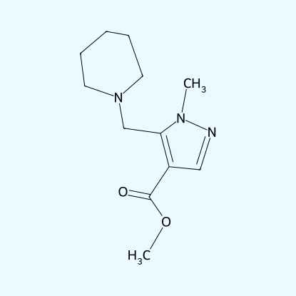 COC(=O)c1cnn(C)c1CN1CCCCC1